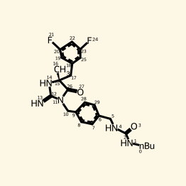 CCCCNC(=O)NCc1ccc(CN2C(=N)N[C@](C)(Cc3cc(F)cc(F)c3)C2=O)cc1